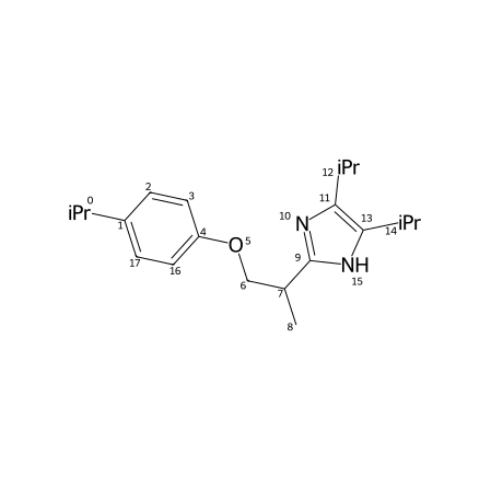 CC(C)c1ccc(OCC(C)c2nc(C(C)C)c(C(C)C)[nH]2)cc1